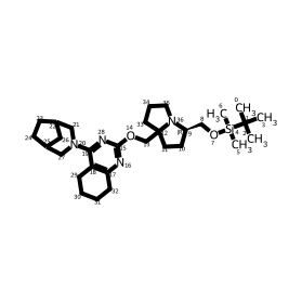 CC(C)(C)[Si](C)(C)OC[C@H]1CCC2(COc3nc4c(c(N5CC6CCC(C6)C5)n3)CCCC4)CCCN12